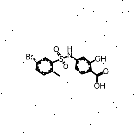 Cc1ccc(Br)cc1S(=O)(=O)Nc1ccc(C(=O)O)c(O)c1